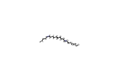 CCCC/C=C\CCCCCCCC/C=C/CCOOCC